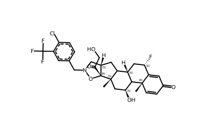 C[C@]12C=CC(=O)C=C1[C@@H](F)C[C@@H]1C2[C@@H](O)C[C@@]2(C)C1C[C@H]1CN(Cc3ccc(Cl)c(C(F)(F)F)c3)O[C@]12C(=O)CO